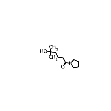 CC(C)(O)CCCC(=O)N1CCCC1